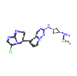 CN[C@H]1C[C@@H](Nc2ncc3c(-c4cnc5ncc(Cl)n5c4)ccn3n2)C1